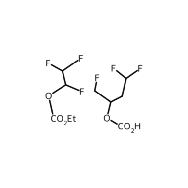 CCOC(=O)OC(F)C(F)F.O=C(O)OC(CF)CC(F)F